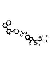 C=C(CCC(C)N1Cc2cc(NC(=O)CC3CCN(c4cc(-c5cccc6c5C=CCC6)ccn4)CC3)ccc2C1=O)NC=O